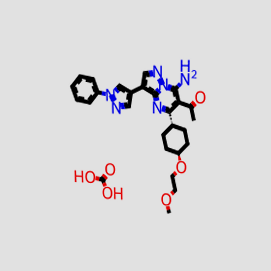 COCCO[C@H]1CC[C@H](c2nc3c(-c4cnn(-c5ccccc5)c4)cnn3c(N)c2C(C)=O)CC1.O=C(O)O